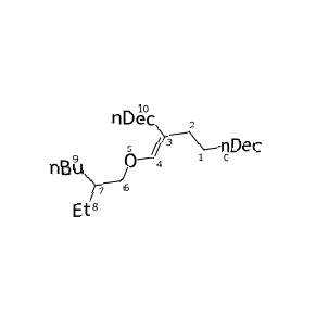 CCCCCCCCCCCCC(=COCC(CC)CCCC)CCCCCCCCCC